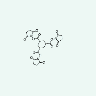 O=C(ON1C(=O)CCC1=O)C1CC(C(=O)ON2C(=O)CCC2=O)CC(C(=O)ON2C(=O)CCC2=O)C1